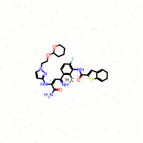 Cc1c(C(=N)/C=C(/Nc2ccn(CCOC3CCCCO3)n2)C(N)=O)ccc(F)c1NC(=O)c1cc2c(s1)=CCCC=2